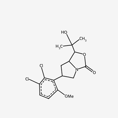 COc1ccc(Cl)c(Cl)c1C1CC2C(C(C)(C)O)OC(=O)N2C1